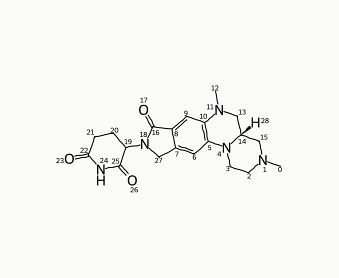 CN1CCN2c3cc4c(cc3N(C)C[C@@H]2C1)C(=O)N(C1CCC(=O)NC1=O)C4